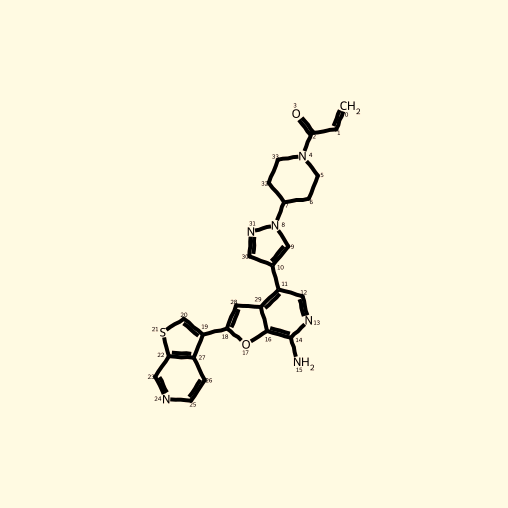 C=CC(=O)N1CCC(n2cc(-c3cnc(N)c4oc(-c5csc6cnccc56)cc34)cn2)CC1